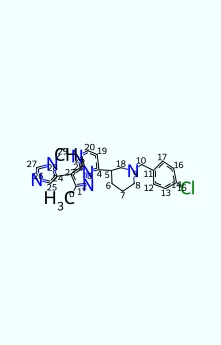 Cc1nn2c(C3CCCN(Cc4ccc(Cl)cc4)C3)ccnc2c1-c1cncn1C